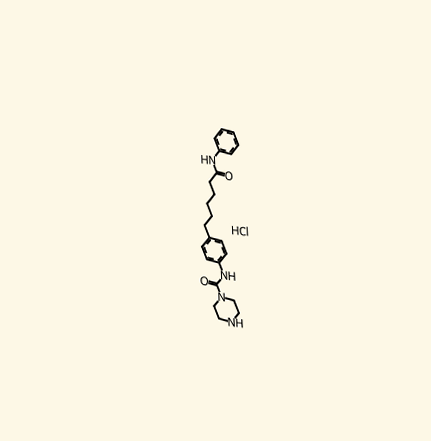 Cl.O=C(CCCCCc1ccc(NC(=O)N2CCNCC2)cc1)Nc1ccccc1